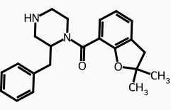 CC1(C)Cc2cccc(C(=O)N3CCNCC3Cc3ccccc3)c2O1